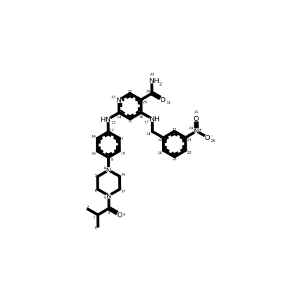 CC(C)C(=O)N1CCN(c2ccc(Nc3cc(NCc4cccc([N+](=O)[O-])c4)c(C(N)=O)cn3)cc2)CC1